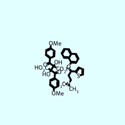 CN(C)CCC(Oc1cccc2ccccc12)c1cccs1.COc1ccc(C(=O)C(O)(C(=O)O)C(O)(C(=O)O)C(=O)c2ccc(OC)cc2)cc1